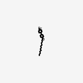 CCCCCCCCCCCCOc1ccc(-c2ccc(Br)cc2)cc1